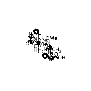 COc1nc(-n2cc(C)c(/N=N/c3c(C(=O)CO)cnn3-c3ccccc3)c2N)nc(-n2nc(C)c(/N=N/c3c(C(=O)CO)cnn3-c3ccccc3)c2N)n1